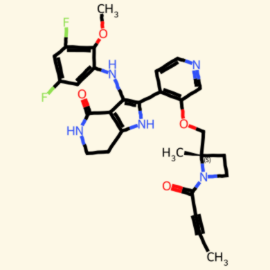 CC#CC(=O)N1CC[C@@]1(C)COc1cnccc1-c1[nH]c2c(c1Nc1cc(F)cc(F)c1OC)C(=O)NCC2